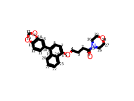 O=C(CCCOc1ccc(-c2ccc3c(c2)OCO3)c2ccccc12)N1CCOCC1